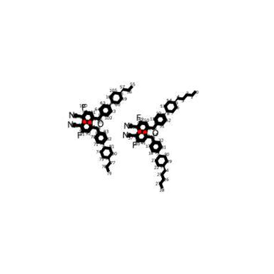 CCCCC[C@H]1CC[C@H](c2ccc(C(OC(c3ccc([C@H]4CC[C@H](CCCCC)CC4)cc3)c3ccc(C#N)c(F)c3)c3ccc(C#N)c(F)c3)cc2)CC1.CCC[C@H]1CC[C@H](c2ccc(C(OC(c3ccc([C@H]4CC[C@H](CCC)CC4)cc3)c3ccc(C#N)c(F)c3)c3ccc(C#N)c(F)c3)cc2)CC1